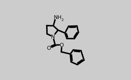 NC1CCN(C(=O)OCc2ccccc2)C1c1ccccc1